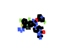 CC1CC2C(CCCN2c2nc(OC[C@@]34CCCN3C[C@H](F)C4)nc3c(F)c(-c4ccc(F)c5sc(N)c(C#N)c45)c(Cl)cc23)N1C(=O)n1cncn1